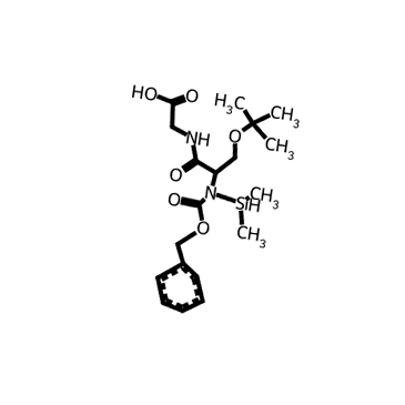 C[SiH](C)N(C(=O)OCc1ccccc1)C(COC(C)(C)C)C(=O)NCC(=O)O